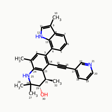 Cc1cc(-c2cccc3c(C)c[nH]c23)c(C#Cc2cccnc2)c2c1NC(C)(C)[C@@H](O)[C@@H]2C